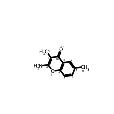 Cc1ccc2oc(N)c(C)c(=O)c2c1